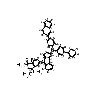 CC1(C)CC(C)(C)c2cc(-n3c4ccccc4c4cc(N(c5ccc(-c6ccccc6)cc5)c5ccc(-c6ccc7ccccc7c6)cc5)ccc43)ccc21